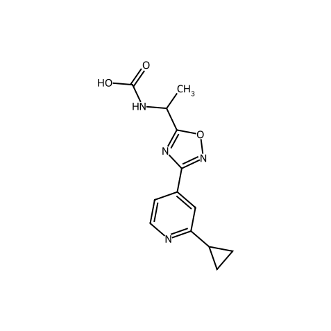 CC(NC(=O)O)c1nc(-c2ccnc(C3CC3)c2)no1